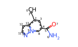 C#Cc1cc(C(N)=O)cn2nccc12